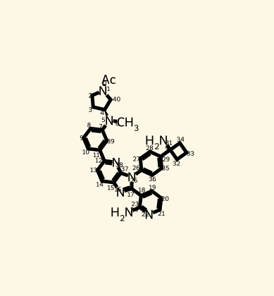 CC(=O)N1CC[C@H](N(C)c2cccc(-c3ccc4nc(-c5cccnc5N)n(-c5ccc(C6(N)CCC6)cc5)c4n3)c2)C1